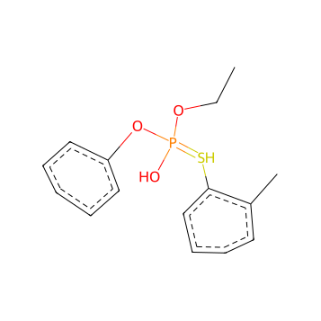 CCOP(O)(Oc1ccccc1)=[SH]c1ccccc1C